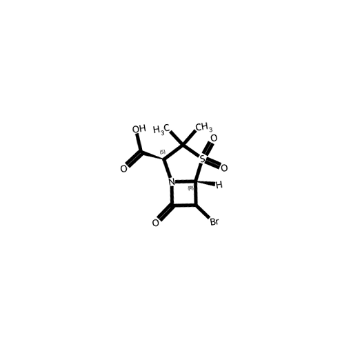 CC1(C)[C@H](C(=O)O)N2C(=O)C(Br)[C@H]2S1(=O)=O